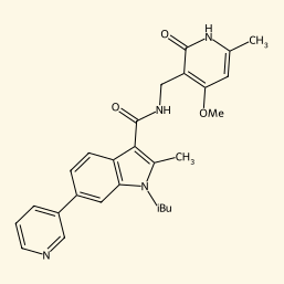 CCC(C)n1c(C)c(C(=O)NCc2c(OC)cc(C)[nH]c2=O)c2ccc(-c3cccnc3)cc21